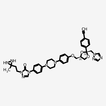 C#Cc1ccc([C@]2(Cn3cncn3)OC[C@@H](COc3ccc(N4CCN(c5ccc(-n6cnn(CCC7(C)NN7)c6=O)cc5)CC4)cc3)O2)cc1